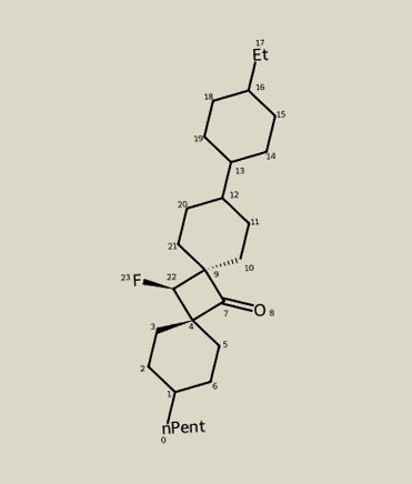 CCCCCC1CC[C@]2(CC1)C(=O)[C@@]1(CCC(C3CCC(CC)CC3)CC1)[C@@H]2F